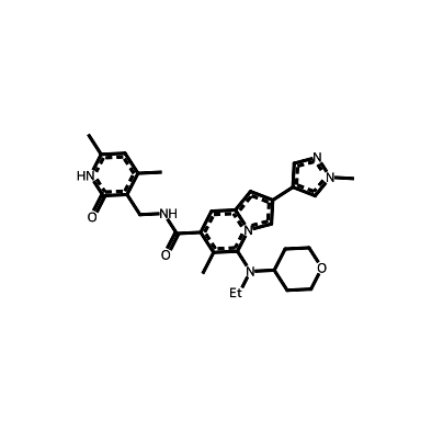 CCN(c1c(C)c(C(=O)NCc2c(C)cc(C)[nH]c2=O)cc2cc(-c3cnn(C)c3)cn12)C1CCOCC1